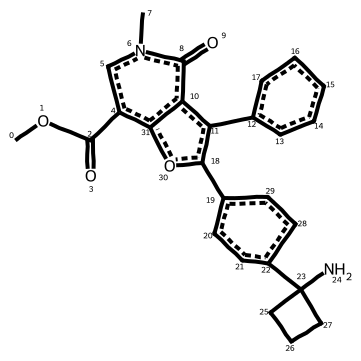 COC(=O)c1cn(C)c(=O)c2c(-c3ccccc3)c(-c3ccc(C4(N)CCC4)cc3)oc12